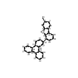 Ic1ccc2c(c1)oc1c(-c3ccc4c5ccccc5c5ccccc5c4c3)cccc12